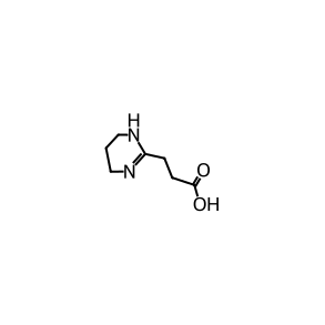 O=C(O)CCC1=NCCCN1